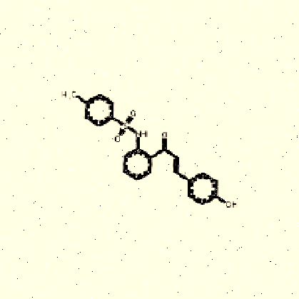 Cc1ccc(S(=O)(=O)Nc2ccccc2C(=O)/C=C/c2ccc(O)cc2)cc1